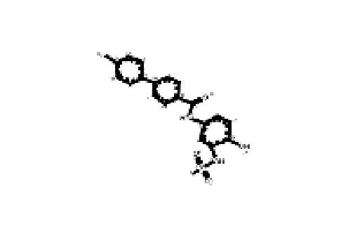 CS(=O)(=O)Nc1cc(NC(=O)c2ccc(-c3ccc(F)cc3)cc2)ccc1O